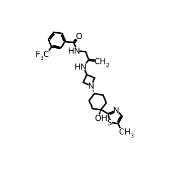 C=C(CNC(=O)c1cccc(C(F)(F)F)c1)NC1CN([C@H]2CC[C@@](O)(c3ncc(C)s3)CC2)C1